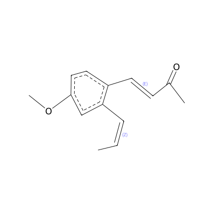 C/C=C\c1cc(OC)ccc1/C=C/C(C)=O